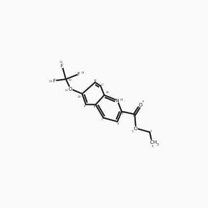 CCOC(=O)c1ccc2cc(OC(F)(F)F)ccc2n1